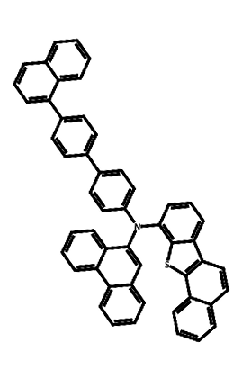 c1ccc2c(-c3ccc(-c4ccc(N(c5cc6ccccc6c6ccccc56)c5cccc6c5sc5c7ccccc7ccc65)cc4)cc3)cccc2c1